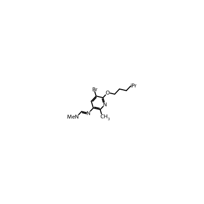 CN/C=N/c1cc(Br)c(OCCCC(C)C)nc1C